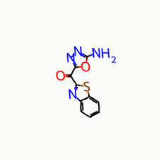 Nc1nnc(C(=O)c2nc3ccccc3s2)o1